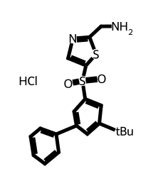 CC(C)(C)c1cc(-c2ccccc2)cc(S(=O)(=O)c2cnc(CN)s2)c1.Cl